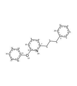 c1ccc(CCCc2cccc(Oc3ccccc3)n2)cc1